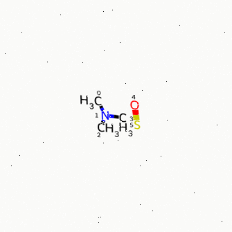 CN(C)C.O=S